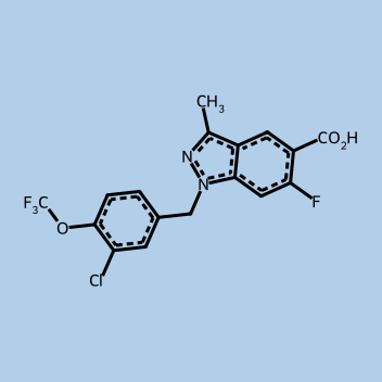 Cc1nn(Cc2ccc(OC(F)(F)F)c(Cl)c2)c2cc(F)c(C(=O)O)cc12